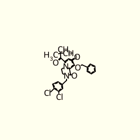 CC(C)(C)C(=O)c1cc(=O)c(OCc2ccccc2)c2n1CCN(Cc1ccc(Cl)c(Cl)c1)C2=O